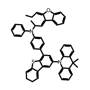 CC/C=c1/oc2ccccc2/c1=C/C(C)N(c1ccccc1)c1ccc(-c2cc(N3c4ccccc4C(C)(C)c4ccccc43)cc3c4c(sc23)=CCCC=4)cc1